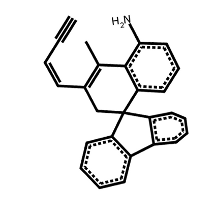 C#C/C=C\C1=C(C)c2c(N)cccc2C2(C1)c1ccccc1-c1ccccc12